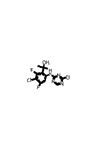 CC(C)(O)c1c(Nc2ncnc(Cl)n2)cc(F)c(Cl)c1F